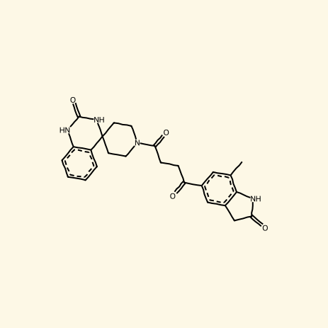 Cc1cc(C(=O)CCC(=O)N2CCC3(CC2)NC(=O)Nc2ccccc23)cc2c1NC(=O)C2